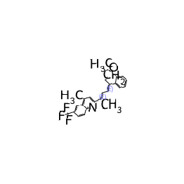 C=C/C(=C\C=C(/C)c1cc(C)c2cc(C(F)(F)F)ccc2n1)c1ccccc1COC